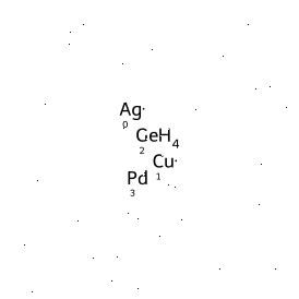 [Ag].[Cu].[GeH4].[Pd]